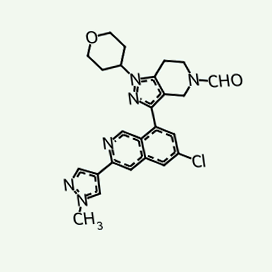 Cn1cc(-c2cc3cc(Cl)cc(-c4nn(C5CCOCC5)c5c4CN(C=O)CC5)c3cn2)cn1